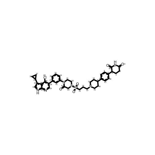 O=C1CCC(c2ccc(C3CCN(CCCS(=O)(=O)N4CCN(c5cccc(-c6cnc7[nH]cc(C8CC8)c7c6Cl)c5)C(=O)C4)CC3)cc2)C(=O)N1